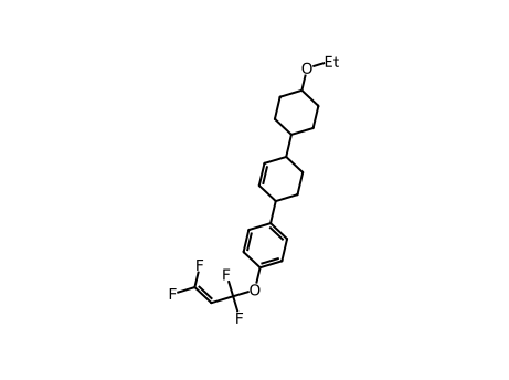 CCOC1CCC(C2C=CC(c3ccc(OC(F)(F)C=C(F)F)cc3)CC2)CC1